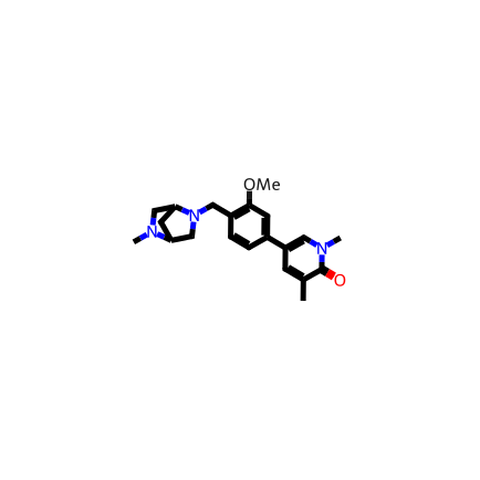 COc1cc(-c2cc(C)c(=O)n(C)c2)ccc1CN1CC2CC1CN2C